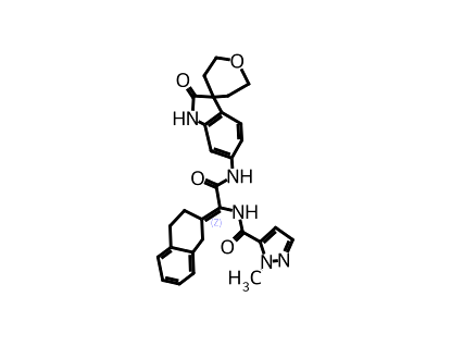 Cn1nccc1C(=O)N/C(C(=O)Nc1ccc2c(c1)NC(=O)C21CCOCC1)=C1/CCc2ccccc2C1